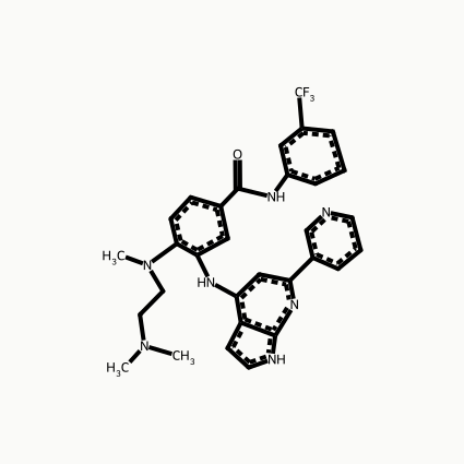 CN(C)CCN(C)c1ccc(C(=O)Nc2cccc(C(F)(F)F)c2)cc1Nc1cc(-c2cccnc2)nc2[nH]ccc12